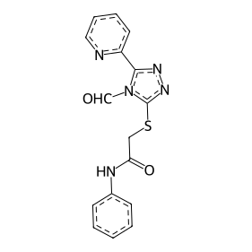 O=Cn1c(SCC(=O)Nc2ccccc2)nnc1-c1ccccn1